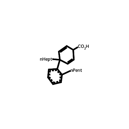 CCCCCCCC1(c2ccccc2CCCCC)C=CC(C(=O)O)C=C1